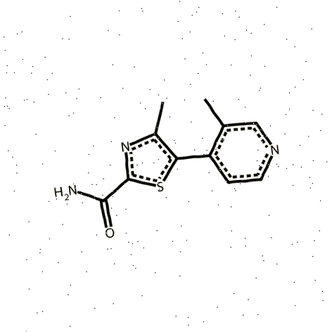 Cc1cnccc1-c1sc(C(N)=O)nc1C